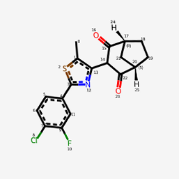 Cc1sc(-c2ccc(Cl)c(F)c2)nc1C1C(=O)[C@@H]2CC[C@@H](C2)C1=O